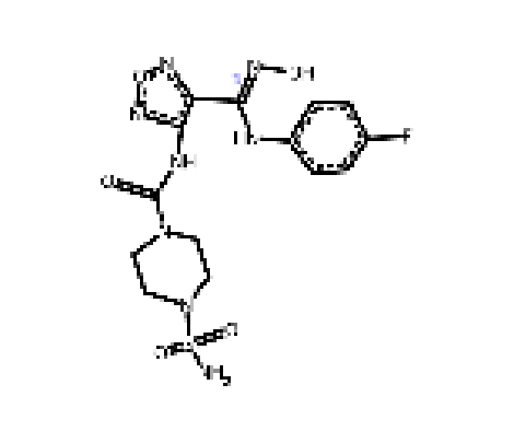 NS(=O)(=O)N1CCN(C(=O)Nc2nonc2/C(=N/O)Nc2ccc(F)cc2)CC1